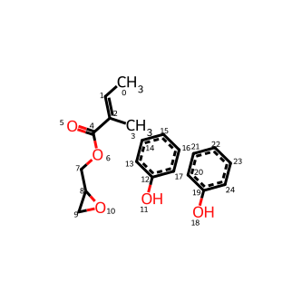 C/C=C(\C)C(=O)OCC1CO1.Oc1ccccc1.Oc1ccccc1